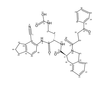 N#Cc1c(NC(=O)[C@H](CCNC(=O)O)NC(=O)[C@@H]2Cc3ccccc3CN2C(=O)CCC(=O)c2ccccc2)ccc2c1CCC2